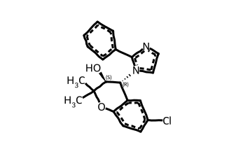 CC1(C)Oc2ccc(Cl)cc2[C@@H](n2ccnc2-c2ccccc2)[C@@H]1O